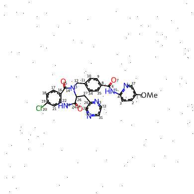 COc1ccc(NC(=O)c2ccc(CN3C(=O)c4ccc(Cl)cc4NC(=O)C3Cc3cnccn3)cc2)nc1